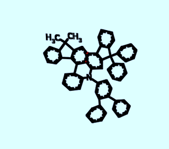 CC1(C)c2ccccc2-c2c(-c3ccccc3N(c3ccc(-c4ccccc4)c(-c4ccccc4)c3)c3ccc4c(c3)C(c3ccccc3)(c3ccccc3)c3ccccc3-4)cccc21